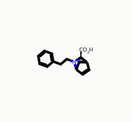 O=C(O)[C@H]1C2C=CC(C2)N1CCc1ccccc1